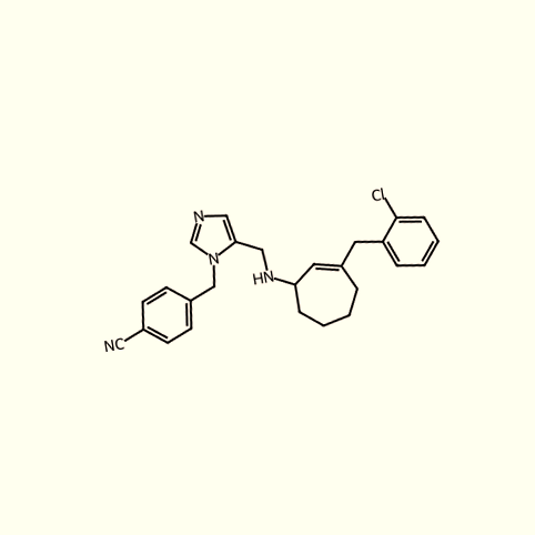 N#Cc1ccc(Cn2cncc2CNC2C=C(Cc3ccccc3Cl)CCCC2)cc1